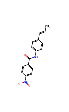 [CH2]/C=C/c1ccc(NC(=O)c2ccc([N+](=O)[O-])cc2)cc1